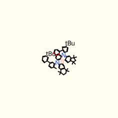 Cc1ccc(-c2ccccc2)cc1N1c2cc3c(cc2B2c4cc5c(cc4N(c4ccc(C(C)(C)C)cc4-c4ccccc4)c4cc(C(C)(C)C)cc1c42)C(C)(C)CC5(C)C)C(C)(C)CCC3(C)C